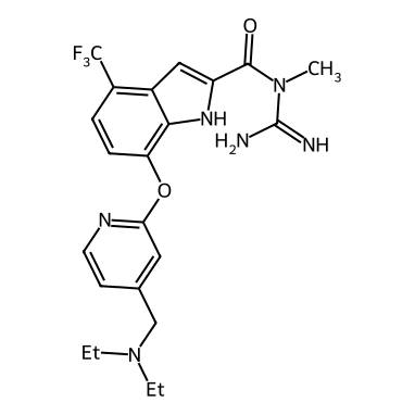 CCN(CC)Cc1ccnc(Oc2ccc(C(F)(F)F)c3cc(C(=O)N(C)C(=N)N)[nH]c23)c1